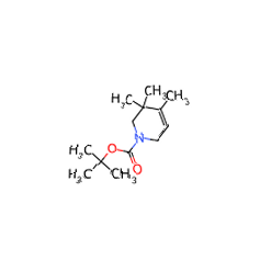 CC1=CCN(C(=O)OC(C)(C)C)CC1(C)C